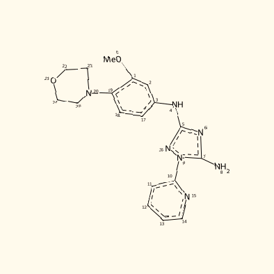 COc1cc(Nc2nc(N)n(-c3ccccn3)n2)ccc1N1CCOCC1